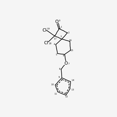 O=C1CC2(CCC(OCc3ccccc3)CC2)C1(Cl)Cl